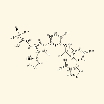 Cc1c(-c2cc(OC3CN(C(=O)N4N=CC[C@H]4c4cc(F)cc(F)c4)C3)c(F)cn2)nn(COC(=O)C(F)(F)F)c1C1=NCCN1